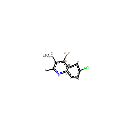 CCOC(=O)c1c(C)nc2ccc(Cl)cc2c1Br